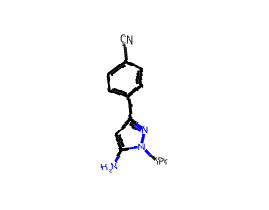 CC(C)n1nc(-c2ccc(C#N)cc2)cc1N